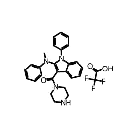 CN(c1ccccc1)c1c(C(=O)N2CCNCC2)c2ccccc2n1-c1ccccc1.O=C(O)C(F)(F)F